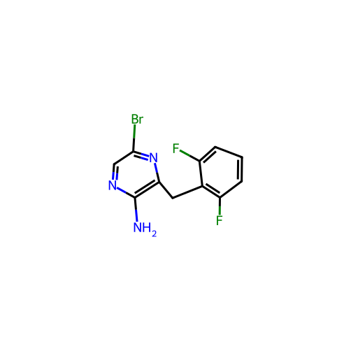 Nc1ncc(Br)nc1Cc1c(F)cccc1F